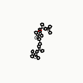 c1ccc(N(c2ccc3c(c2)-c2c(oc4ccccc24)C32c3ccccc3-c3ccccc32)c2ccc3cc(-c4ccc5c6c(oc5c4)-c4cccc(-c5ccc(N(c7ccccc7)c7ccc8c(c7)c7ccccc7n8-c7ccccc7)cc5)c4C64c5ccccc5-c5ccccc54)ccc3c2)cc1